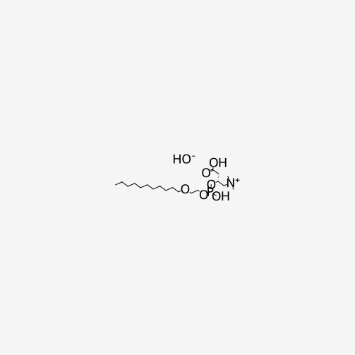 CCCCCCCCCCCOCCOP(O)O[C@H](CC(=O)O)C[N+](C)(C)C.[OH-]